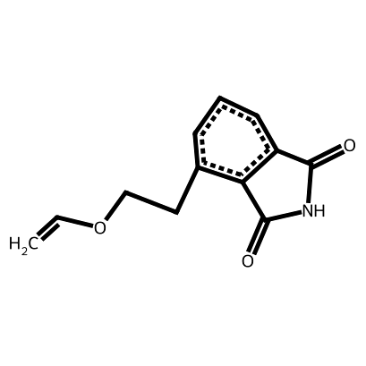 C=COCCc1cccc2c1C(=O)NC2=O